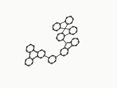 c1cc(-c2ccc3c4ccccc4c4ccccc4c3c2)cc(-c2ccc3c4ccccc4n(-c4cccc5c4-c4ccccc4C54c5ccccc5-c5ccccc54)c3c2)c1